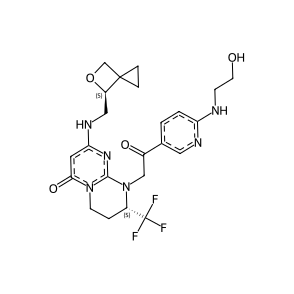 O=C(CN1c2nc(NC[C@H]3OCC34CC4)cc(=O)n2CC[C@H]1C(F)(F)F)c1ccc(NCCO)nc1